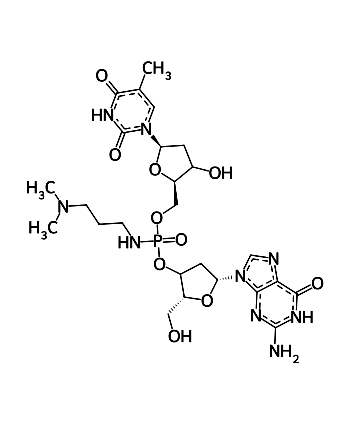 Cc1cn([C@H]2CC(O)[C@@H](COP(=O)(NCCCN(C)C)OC3C[C@H](n4cnc5c(=O)[nH]c(N)nc54)O[C@@H]3CO)O2)c(=O)[nH]c1=O